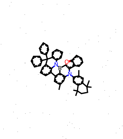 Cc1cc2c3c(c1)N(c1cc4c(cc1C)C(C)(C)CCC4(C)C)c1c(oc4ccccc14)B3N1c3ccccc3C(c3ccccc3)(c3ccccc3)c3cccc-2c31